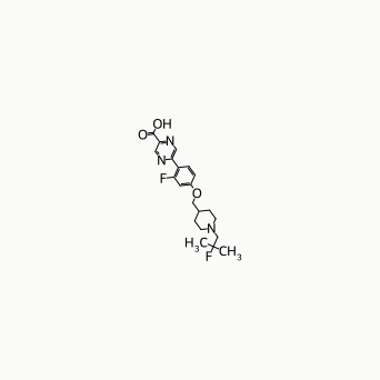 CC(C)(F)CN1CCC(COc2ccc(-c3cnc(C(=O)O)cn3)c(F)c2)CC1